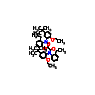 CCOc1ccc(C(C)(C)C)cc1N(OC(=O)C(=O)N(c1ccccc1CC)c1cc(C(C)(C)C)ccc1OCC)c1ccccc1CC